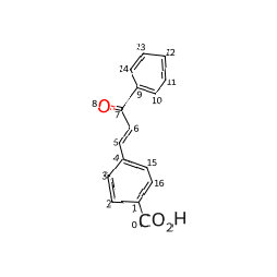 O=C(O)c1ccc(/C=C/C(=O)c2ccccc2)cc1